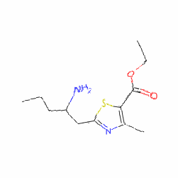 CCCC(N)Cc1nc(C)c(C(=O)OCC)s1